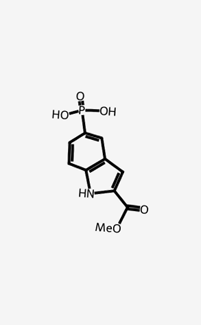 COC(=O)c1cc2cc(P(=O)(O)O)ccc2[nH]1